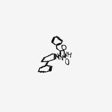 O=c1[nH]c(N2CCCC(c3ccccc3)C2)c(Cc2ccccc2)c(=O)[nH]1